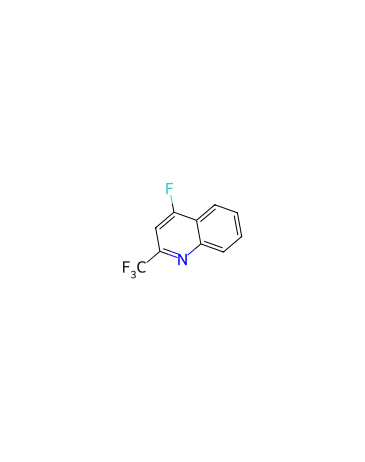 Fc1cc(C(F)(F)F)nc2ccccc12